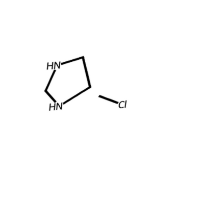 C1CNCN1.CCl